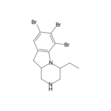 CCC1CNCC2Cc3cc(Br)c(Br)c(Br)c3N12